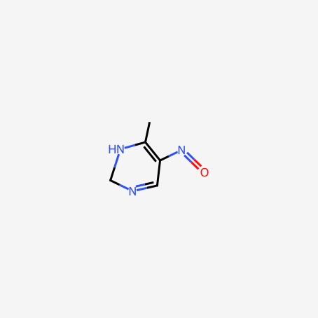 CC1=C(N=O)C=NCN1